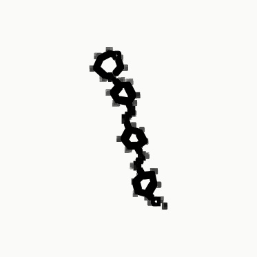 FC(F)(F)c1ccc(N=Nc2ccc(N=Nc3ccc(N4CCCCOC4)cc3)cc2)cc1